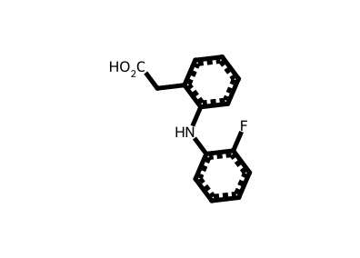 O=C(O)Cc1ccccc1Nc1ccccc1F